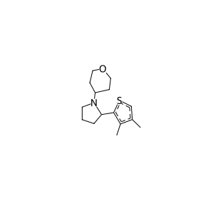 Cc1csc(C2CCCN2C2CCOCC2)c1C